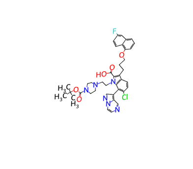 CC(C)(C)OC(=O)N1CCN(CCn2c(C(=O)O)c(CCCOc3cccc4cc(F)ccc34)c3ccc(Cl)c(-c4cnn5ccncc45)c32)CC1